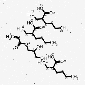 C=CC(=O)OCC(O)CO.CCCCC(CC)C(=O)O.CCCCC(CC)C(=O)O.CCCCC(CC)C(=O)O